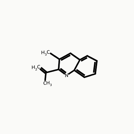 C=C(C)c1nc2ccccc2cc1C